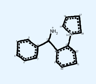 NC(c1ccccc1)c1ccccc1-n1cccc1